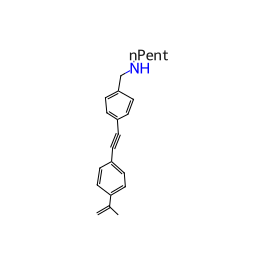 C=C(C)c1ccc(C#Cc2ccc(CNCCCCC)cc2)cc1